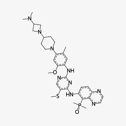 COc1cc(N2CCC(N3CC(N(C)C)C3)CC2)c(C)cc1Nc1ncc(SC)c(Nc2ccc3nccnc3c2P(C)(C)=O)n1